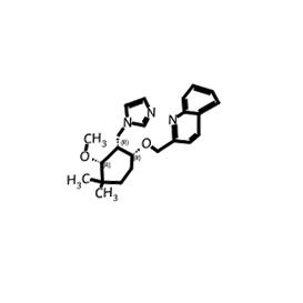 CO[C@@H]1[C@H](Cn2ccnc2)[C@H](OCc2ccc3ccccc3n2)CCC1(C)C